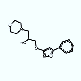 OC(COc1cc(-c2ccccc2)on1)CN1CCOCC1